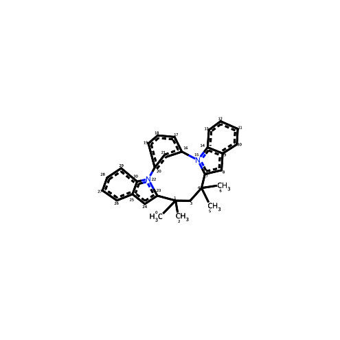 CC1(C)CC(C)(C)c2cc3ccccc3n2-c2cccc(c2)-n2c1cc1ccccc12